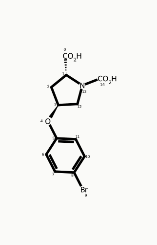 O=C(O)[C@H]1C[C@H](Oc2ccc(Br)cc2)CN1C(=O)O